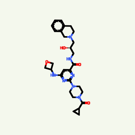 O=C(NC[C@H](O)CN1CCc2ccccc2C1)c1cc(NC2COC2)nc(N2CCN(C(=O)C3CC3)CC2)n1